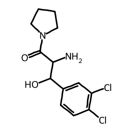 NC(C(=O)N1CCCC1)C(O)c1ccc(Cl)c(Cl)c1